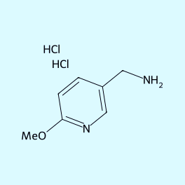 COc1ccc(CN)cn1.Cl.Cl